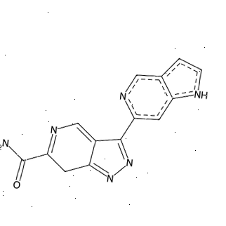 NC(=O)C1=NC=C2C(=NN=C2c2cc3[nH]ccc3cn2)C1